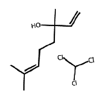 C=CC(C)(O)CCC=C(C)C.ClC(Cl)Cl